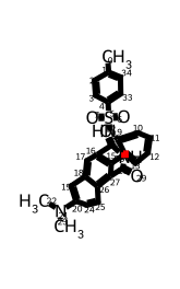 Cc1ccc(S(=O)(=O)Nc2ccccc2-c2c3cc4cc(N(C)C)ccc4c2C(=O)NC3=O)cc1